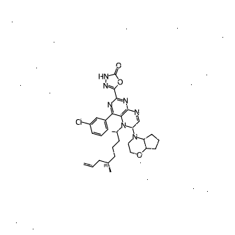 C=CC[C@H](C)CCCC(C)N1c2c(nc(-c3n[nH]c(=O)o3)nc2-c2cccc(Cl)c2)N=CC1N1CCOC2CCCC21